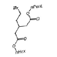 CCCCCCOC(=O)CC(CCC(C)C)CC(=O)OCCCCC